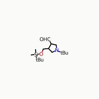 CC(C)(C)N1CC(C=O)C(CO[Si](C)(C)C(C)(C)C)C1